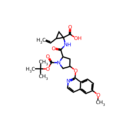 C=CC1CC1(NC(=O)C1CC(Oc2nccc3cc(OC)ccc23)CN1C(=O)OC(C)(C)C)C(=O)O